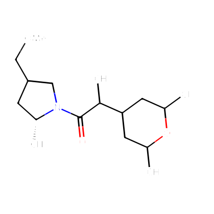 COCC1C[C@@H](C)N(C(=O)C(C)C2CC(C)OC(C)C2)C1